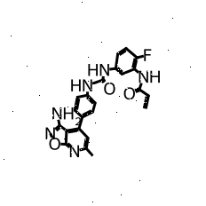 C=CC(=O)Nc1cc(NC(=O)Nc2ccc(-c3cc(C)nc4onc(N)c34)cc2)ccc1F